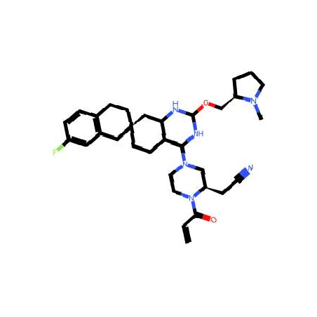 C=CC(=O)N1CCN(C2NC(OC[C@H]3CCCN3C)NC3C[C@@]4(CCc5ccc(F)cc5C4)CCC32)C[C@H]1CC#N